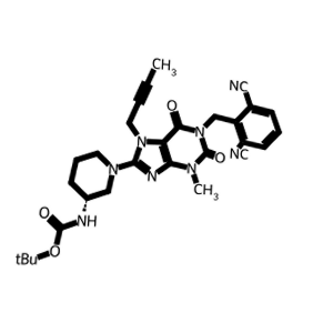 CC#CCn1c(N2CCC[C@@H](NC(=O)OC(C)(C)C)C2)nc2c1c(=O)n(Cc1c(C#N)cccc1C#N)c(=O)n2C